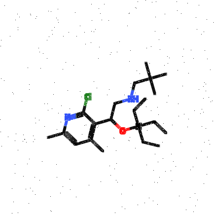 CC[Si](CC)(CC)OC(CNCC(C)(C)C)c1c(C)cc(C)nc1Cl